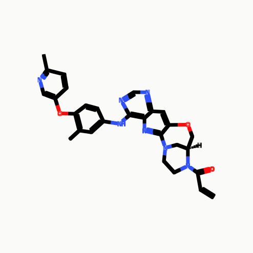 C=CC(=O)N1CCN2C[C@H]1COc1cc3ncnc(Nc4ccc(Oc5ccc(C)nc5)c(C)c4)c3nc12